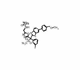 COCc1ccc(-c2ccc3nc(C(c4cccc(F)c4)(c4nnc(CNS(N)(=O)=O)o4)S(C)(=O)=O)sc3c2)cc1